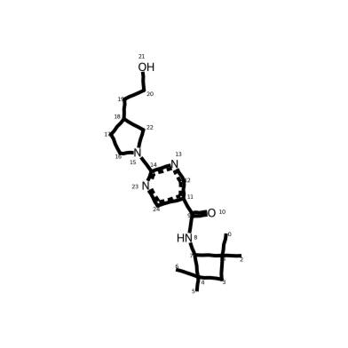 CC1(C)CC(C)(C)C1NC(=O)c1cnc(N2CCC(CCO)C2)nc1